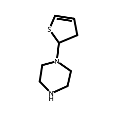 C1=CSC(N2CCNCC2)C1